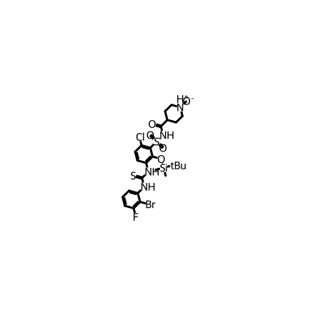 CC(C)(C)[Si](C)(C)Oc1c(NC(=S)Nc2cccc(F)c2Br)ccc(Cl)c1S(=O)(=O)NC(=O)C1CC[NH+]([O-])CC1